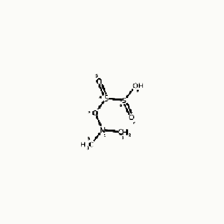 CN(C)OS(=O)S(=O)O